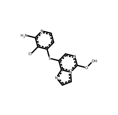 Nc1nccc(Sc2cnc(OO)n3ccnc23)c1Cl